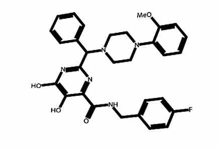 COc1ccccc1N1CCN(C(c2ccccc2)c2nc(O)c(O)c(C(=O)NCc3ccc(F)cc3)n2)CC1